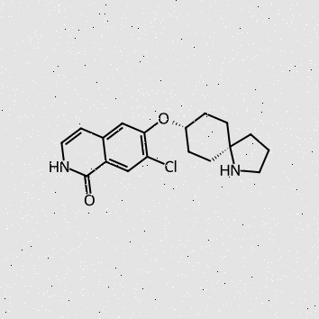 O=c1[nH]ccc2cc(O[C@H]3CC[C@@]4(CCCN4)CC3)c(Cl)cc12